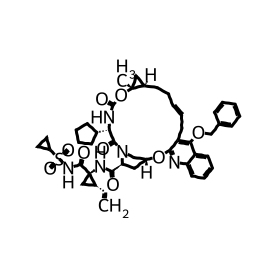 C=C[C@@H]1C[C@]1(NC(=O)[C@@H]1C[C@@H]2CN1C(=O)[C@H](C1CCCC1)NC(=O)O[C@]1(C)C[C@H]1CC/C=C/Cc1c(nc3ccccc3c1OCc1ccccc1)O2)C(=O)NS(=O)(=O)C1CC1